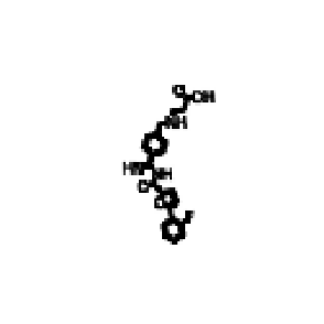 N=C(NC(=O)c1ccc(-c2ccccc2F)o1)c1ccc(CNCCC(=O)O)cc1